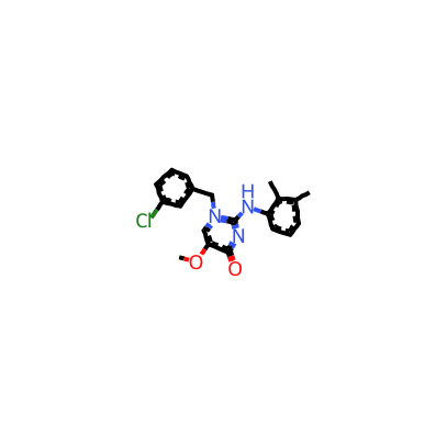 COc1cn(Cc2cccc(Cl)c2)c(Nc2cccc(C)c2C)nc1=O